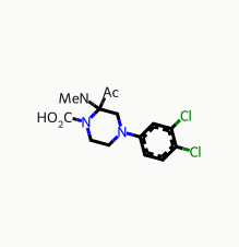 CNC1(C(C)=O)CN(c2ccc(Cl)c(Cl)c2)CCN1C(=O)O